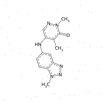 Cc1c(Nc2ccc3c(c2)nnn3C)cnn(C)c1=O